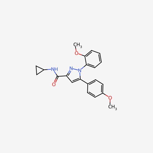 COc1ccc(-c2cc(C(=O)NC3CC3)nn2-c2ccccc2OC)cc1